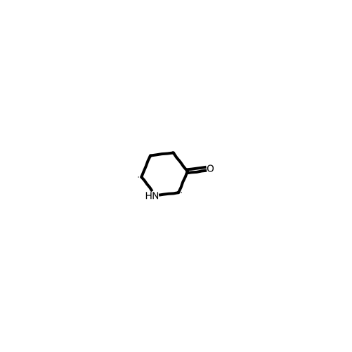 O=C1[CH]N[CH]CC1